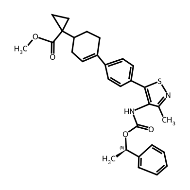 COC(=O)C1(C2CC=C(c3ccc(-c4snc(C)c4NC(=O)O[C@H](C)c4ccccc4)cc3)CC2)CC1